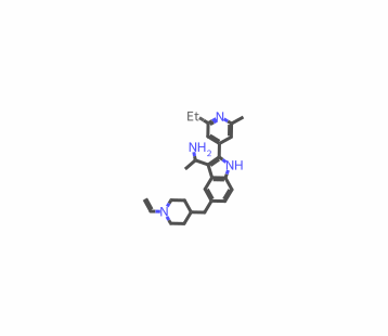 C=CN1CCC(Cc2ccc3[nH]c(-c4cc(C)nc(CC)c4)c(C(C)N)c3c2)CC1